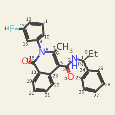 CC[C@H](NC(=O)c1c(C)n(-c2cccc(F)c2)c(=O)c2ccccc12)c1ccccc1